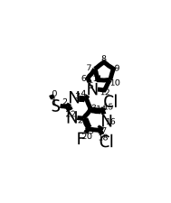 CSc1nc(N2CC3CCC(C3)C2)c2c(Cl)nc(Cl)c(F)c2n1